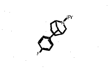 CC(C)N1CC2CCCC1CC2c1ccc(F)cc1